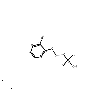 CC(C)(O)CCCc1ccccc1F